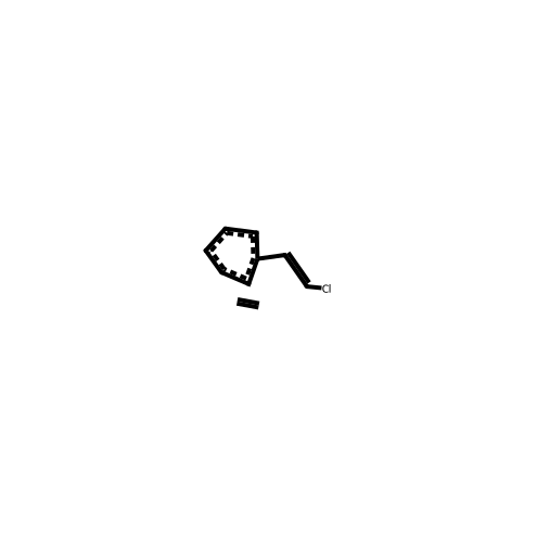 C=C.ClC=Cc1ccccc1